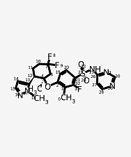 Cc1c(O[C@]2(C)CC(F)(F)CC[C@@H]2c2ccnn2C)ccc(S(=O)(=O)Nc2ccncn2)c1F